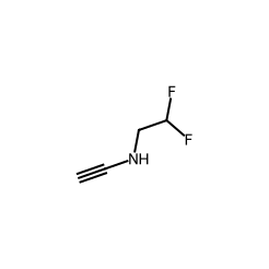 C#CNCC(F)F